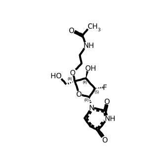 CC(=O)NCCO[C@]1(CO)O[C@@H](n2ccc(=O)[nH]c2=O)[C@@H](F)[C@@H]1O